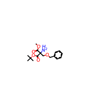 COC(=O)C(N)(COCc1ccccc1)C(=O)OC(C)(C)C